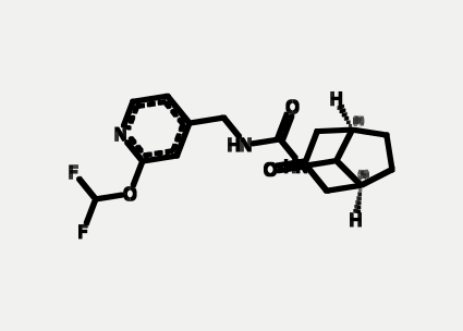 O=C1C[C@H]2CC[C@@H](C1)C2NC(=O)NCc1ccnc(OC(F)F)c1